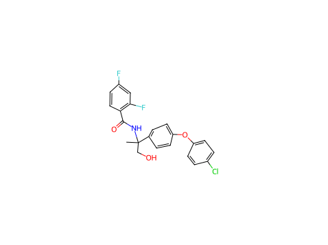 CC(CO)(NC(=O)c1ccc(F)cc1F)c1ccc(Oc2ccc(Cl)cc2)cc1